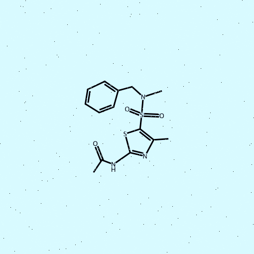 CC(=O)Nc1nc(C)c(S(=O)(=O)N(C)Cc2ccccc2)s1